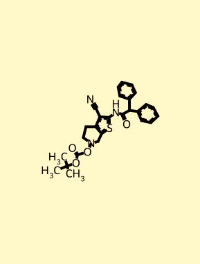 CC(C)(C)OC(=O)ON1CCc2c(sc(NC(=O)C(c3ccccc3)c3ccccc3)c2C#N)C1